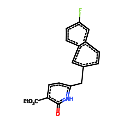 CCOC(=O)c1ccc(Cc2ccc3cc(F)ccc3c2)[nH]c1=O